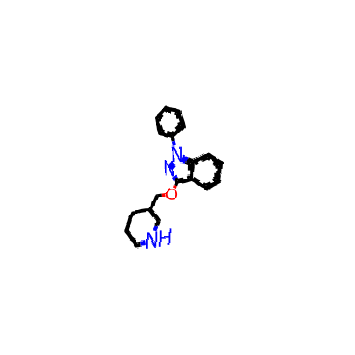 c1ccc(-n2nc(OCC3CCCNC3)c3ccccc32)cc1